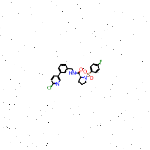 O=C(NCc1cccc(-c2ccc(Cl)nc2)c1)[C@@H]1CCCN1S(=O)(=O)c1ccc(F)cc1